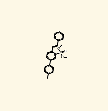 COP(=O)(OC)c1cc(-c2ccc(C)cc2)ccc1C=Cc1ccccc1